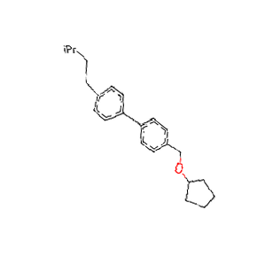 CC(C)CCc1ccc(-c2ccc(COC3CCCC3)cc2)cc1